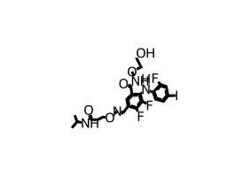 CC(C)NC(=O)CCON=Cc1cc(C(=O)NOCCO)c(Nc2ccc(I)cc2F)c(F)c1F